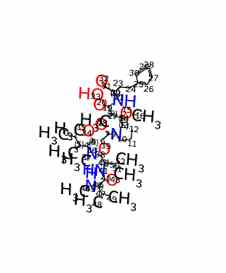 CC[C@H](C)C([C@@H](CC(=O)N1CCC[C@H]1[C@H](OC)[C@@H](C)C(=O)N[C@H](CCc1ccccc1)C(=O)O)OC)N(C)C(=O)[C@@H](NC(=O)[C@@H](NC)C(C)C)C(C)C